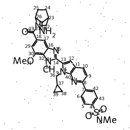 CNS(=O)(=O)c1ccc(-c2ccc3cc(-c4nc5cc(C(=O)N6CC7CCC6C7N)cc(OC)c5n4C)n(CC4CC4)c3n2)cc1